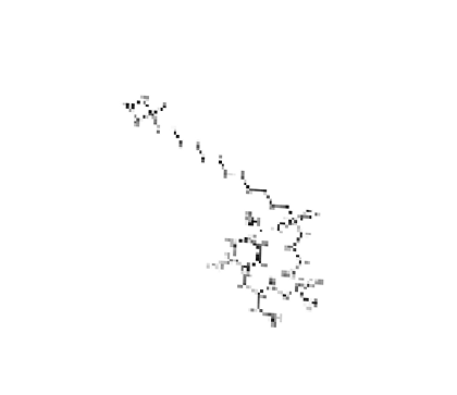 CC1(CCCCCCCCCCCCS(=O)(=O)CCCOP(=O)(O)COC(CO)Cn2ccc(N)nc2=O)COC1